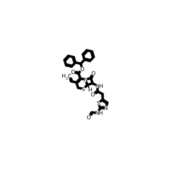 C=CC1=C(C(=O)OC(c2ccccc2)c2ccccc2)N2C(=O)C(NC(=O)Cc3cnc(NC=O)s3)[C@@H]2SC1